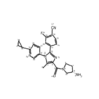 Cc1c(C(=O)N2CC[C@H](N)C2)nc(-c2ccc(C#N)c(F)c2)n1-c1ccc(C2CC2)nc1